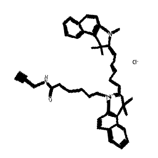 C#CCNC(=O)CCCCC[N+]1=C(/C=C/C=C/C=C2/N(C)c3ccc4ccccc4c3C2(C)C)C(C)(C)c2c1ccc1ccccc21.[Cl-]